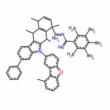 Bc1c(B)c(B)c(C(=N)/N=C(\N)C2(C)C=CC(C)C3=C2C(C)c2c(c4ccc(-c5ccccc5)cc4n2-c2ccc4oc5cccc(C)c5c4c2)C3C)c(B)c1B